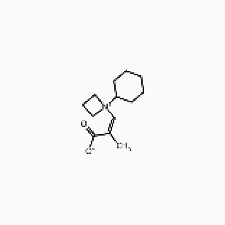 CC(=C[N+]1(C2CCCCC2)CCC1)C(=O)[O-]